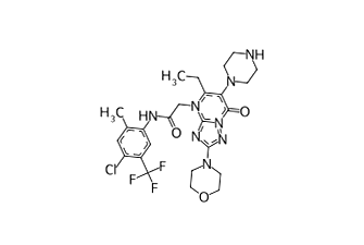 CCc1c(N2CCNCC2)c(=O)n2nc(N3CCOCC3)nc2n1CC(=O)Nc1cc(C(F)(F)F)c(Cl)cc1C